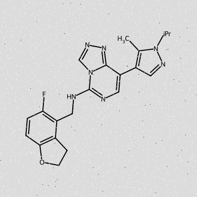 Cc1c(-c2cnc(NCc3c(F)ccc4c3CCO4)n3cnnc23)cnn1C(C)C